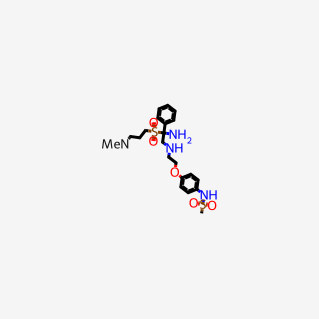 CNCCCS(=O)(=O)C(N)(CNCCOc1ccc(NS(C)(=O)=O)cc1)c1ccccc1